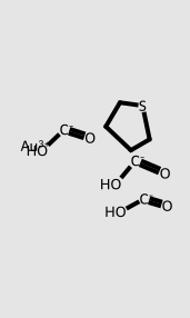 C1CCSC1.O=[C-]O.O=[C-]O.O=[C-]O.[Au+3]